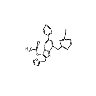 CC(=O)Oc1c(Cc2ccco2)nc2c(Cc3cccc(F)c3)nc(-c3ccccc3)cn12